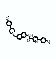 COc1ccc(-c2ccc(C(=O)Nc3ccc4cc(CN5CCC(c6ccc(OC)cc6)CC5)ccc4c3)cn2)cc1